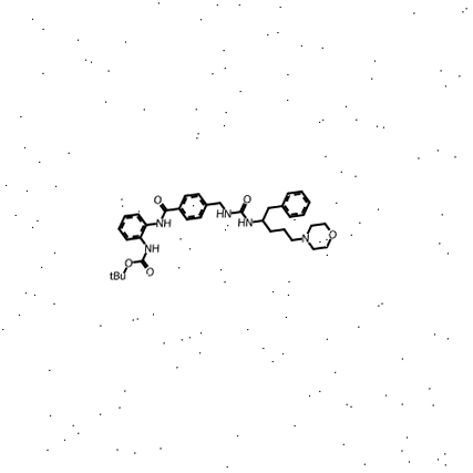 CC(C)(C)OC(=O)Nc1ccccc1NC(=O)c1ccc(CNC(=O)NC(CCCN2CCOCC2)Cc2ccccc2)cc1